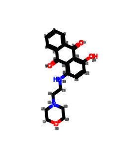 O=C1c2ccccc2C(=O)c2c(NCCN3CCOCC3)ccc(O)c21